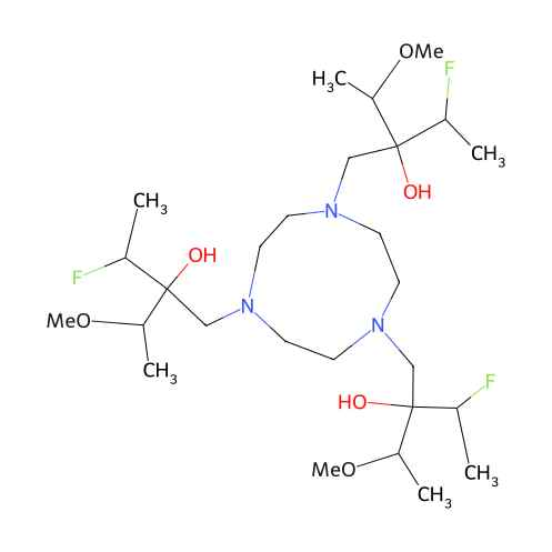 COC(C)C(O)(CN1CCN(CC(O)(C(C)F)C(C)OC)CCN(CC(O)(C(C)F)C(C)OC)CC1)C(C)F